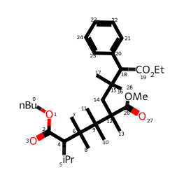 CCCCOC(=O)C(C(C)C)C(C)(C)C(C)(C)C(C)(CC(C)(C)C(C(=O)OCC)c1ccccc1)C(=O)OC